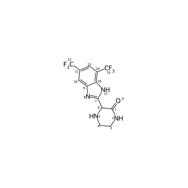 O=C1NCCNC1c1nc2cc(C(F)(F)F)cc(C(F)(F)F)c2[nH]1